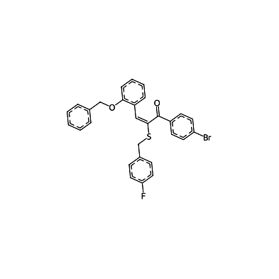 O=C(C(=Cc1ccccc1OCc1ccccc1)SCc1ccc(F)cc1)c1ccc(Br)cc1